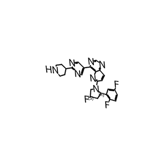 Fc1ccc(F)c([C@H]2C[C@H](F)CN2c2ccc3ncnc(-c4cnc(C5CCNCC5)nc4)c3n2)c1